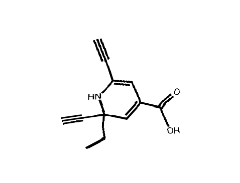 C#CC1=CC(C(=O)O)=CC(C#C)(CC)N1